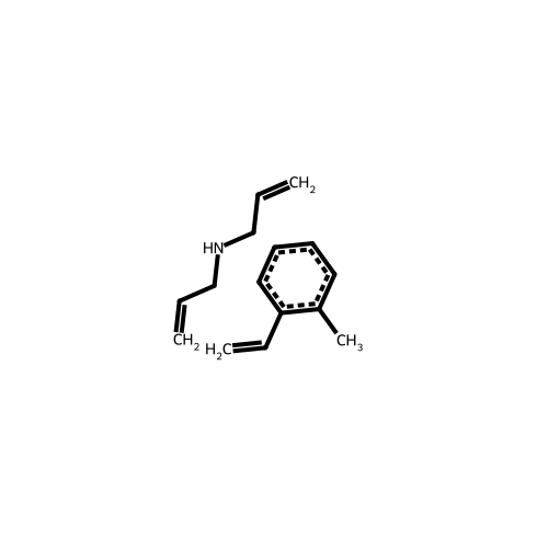 C=CCNCC=C.C=Cc1ccccc1C